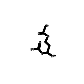 CCCC(CCOC(=O)C(C)C)SC(=O)C(C)C